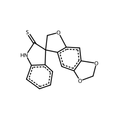 S=C1Nc2ccccc2C12COc1cc3c(cc12)OCO3